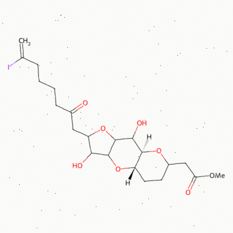 C=C(I)CCCCC(=O)CC1OC2C(O[C@H]3CCC(CC(=O)OC)O[C@@H]3C2O)C1O